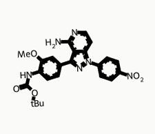 COc1cc(-c2nn(-c3ccc([N+](=O)[O-])cc3)c3ccnc(N)c23)ccc1NC(=O)OC(C)(C)C